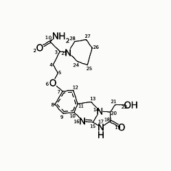 NC(=O)C(CCOc1ccc2c(c1)CN1C(=N2)NC(=O)C1CO)N1CCCCC1